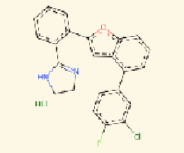 Cl.Fc1ccc(-c2cccc3oc(-c4ccccc4C4=NCCN4)cc23)cc1Cl